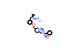 NC1(Cc2cccc(OCC3CCC4CN(c5noc6ccccc56)CCN4C3)c2)CC1